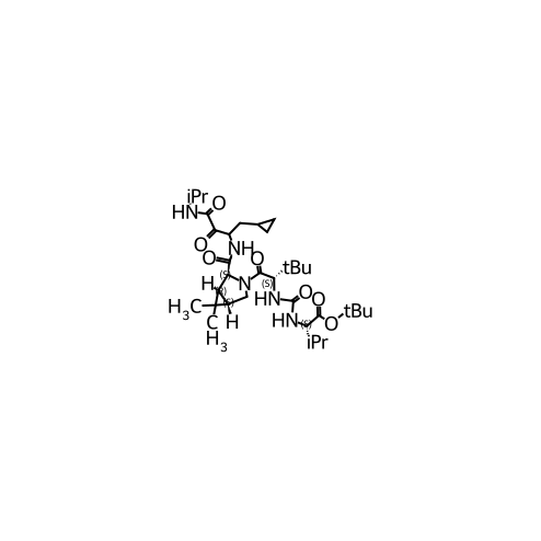 CC(C)NC(=O)C(=O)C(CC1CC1)NC(=O)[C@@H]1[C@@H]2[C@H](CN1C(=O)[C@@H](NC(=O)N[C@H](C(=O)OC(C)(C)C)C(C)C)C(C)(C)C)C2(C)C